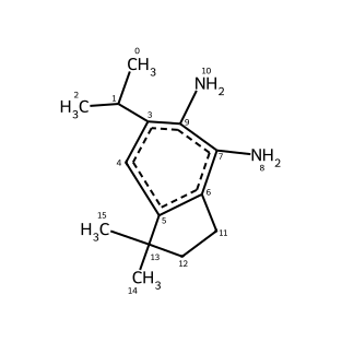 CC(C)c1cc2c(c(N)c1N)CCC2(C)C